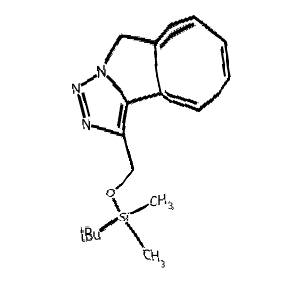 CC(C)(C)[Si](C)(C)OCc1nnn2c1-c1ccccc1C2